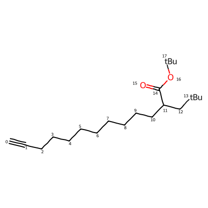 C#CCCCCCCCCCC(CC(C)(C)C)C(=O)OC(C)(C)C